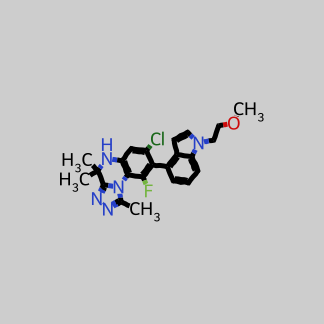 COCCn1ccc2c(-c3c(Cl)cc4c(c3F)-n3c(C)nnc3C(C)(C)N4)cccc21